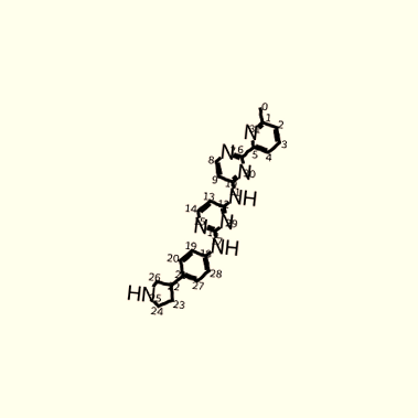 Cc1cccc(-c2nccc(Nc3ccnc(Nc4ccc(C5CCNC5)cc4)n3)n2)n1